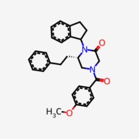 COc1ccc(C(=O)N2CC(=O)N(C3CCc4ccccc43)[C@@H](CCc3ccccc3)C2)cc1